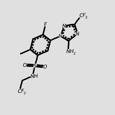 Cc1cc(F)c(-n2nc(C(F)(F)F)nc2N)cc1S(=O)(=O)NCC(F)(F)F